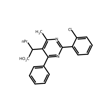 CCCC(C(=O)O)c1c(C)nc(-c2ccccc2Cl)nc1-c1ccccc1